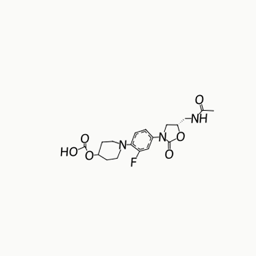 CC(=O)NC[C@H]1CN(c2ccc(N3CCC(OC(=O)O)CC3)c(F)c2)C(=O)O1